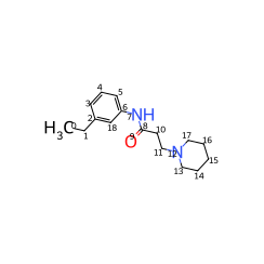 CCc1cccc(NC(=O)CCN2CCCCC2)c1